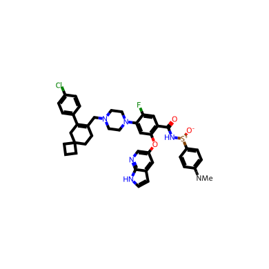 CNc1ccc([S+]([O-])NC(=O)c2cc(F)c(N3CCN(CC4=C(c5ccc(Cl)cc5)CC5(CCC5)CC4)CC3)cc2Oc2cnc3[nH]ccc3c2)cc1